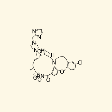 CO[C@@]1(CN2CCN(Cc3ncccn3)CC2)/C=C/C[C@H](C)[C@@H](C)S(=O)(=O)NC(=O)c2ccc3c(c2)N(CCCCc2cc(Cl)ccc2CO3)C[C@@H]2CC[C@H]21